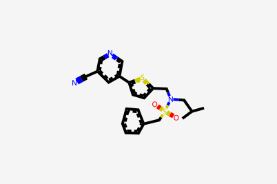 CC(C)CN(Cc1ccc(-c2cncc(C#N)c2)s1)S(=O)(=O)Cc1ccccc1